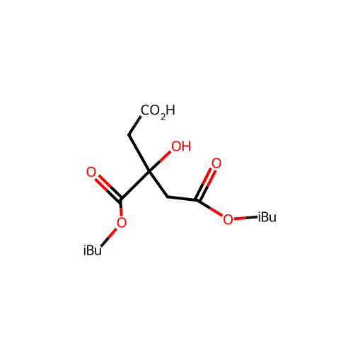 CCC(C)OC(=O)CC(O)(CC(=O)O)C(=O)OC(C)CC